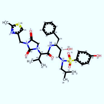 Cc1nc(CN2C(=O)CN(C(C(=O)N[C@@H](Cc3ccccc3)[C@H](O)CN(CC(C)C)S(=O)(=O)c3ccc(O)cc3)C(C)C)C2=O)cs1